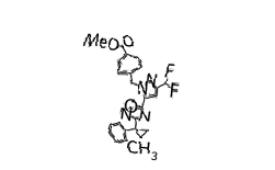 COC(=O)c1ccc(Cn2nc(C(F)F)cc2-c2nc(C3(c4ccccc4C)CC3)no2)cc1